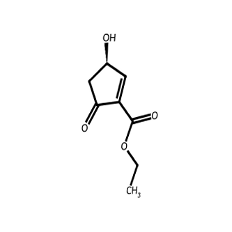 CCOC(=O)C1=C[C@H](O)CC1=O